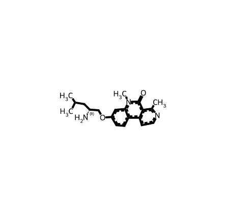 Cc1nccc2c1c(=O)n(C)c1cc(OC[C@H](N)CC(C)C)ccc21